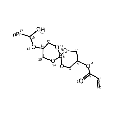 C=CC(=O)OC1CO[B-]2(OC1)OCC(OC(O)CCC)CO2